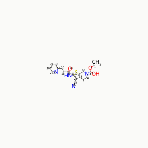 CCOC(O)N1CCc2c(sc(NC(=O)CCc3ccccn3)c2C#N)C1